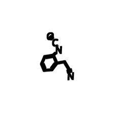 N#CCc1ccccc1N=C=O